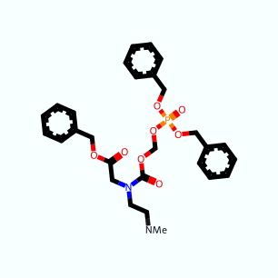 CNCCN(CC(=O)OCc1ccccc1)C(=O)OCOP(=O)(OCc1ccccc1)OCc1ccccc1